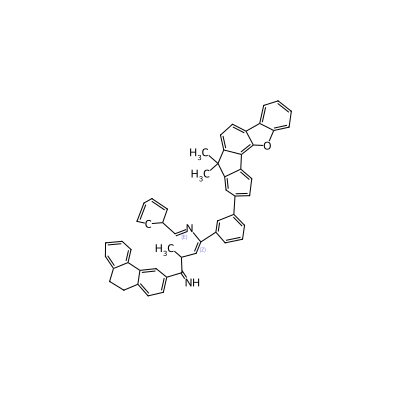 CC(/C=C(\N=C\C1C=CC=CC1)c1cccc(-c2ccc3c(c2)C(C)(C)c2ccc4c(oc5ccccc54)c2-3)c1)C(=N)c1ccc2c(c1)-c1ccccc1CC2